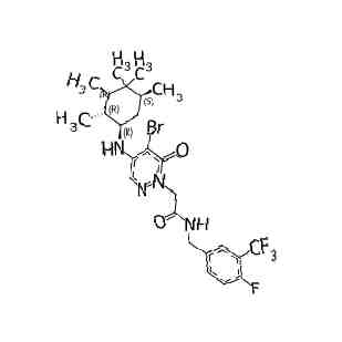 C[C@@H]1[C@@H](C)C(C)(C)[C@@H](C)C[C@H]1Nc1cnn(CC(=O)NCc2ccc(F)c(C(F)(F)F)c2)c(=O)c1Br